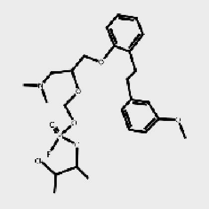 COc1cccc(CCc2ccccc2OCC(CN(C)C)OCOP(=O)(F)OC(C)C(C)Cl)c1